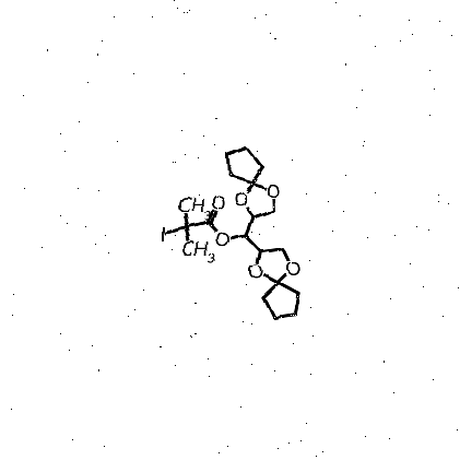 CC(C)(I)C(=O)OC(C1COC2(CCCC2)O1)C1COC2(CCCC2)O1